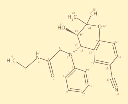 CCNC(=O)CN(c1ccccc1)[C@H]1c2cc(C#N)ccc2OC(C)(C)[C@@H]1O